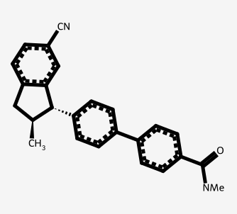 CNC(=O)c1ccc(-c2ccc([C@H]3c4cc(C#N)ccc4C[C@@H]3C)cc2)cc1